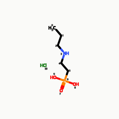 CCCNCCP(=O)(O)O.Cl